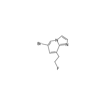 FCCc1cc(Br)cn2ccnc12